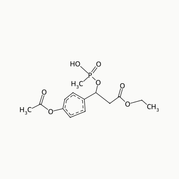 CCOC(=O)CC(OP(C)(=O)O)c1ccc(OC(C)=O)cc1